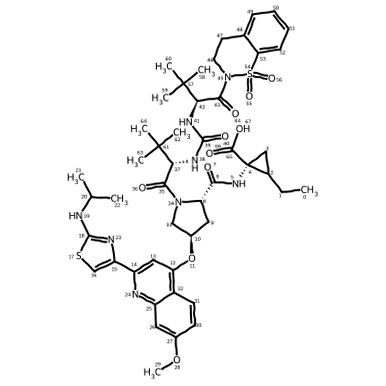 CCC1C[C@]1(NC(=O)[C@@H]1C[C@@H](Oc2cc(-c3csc(NC(C)C)n3)nc3cc(OC)ccc23)CN1C(=O)[C@@H](NC(=O)N[C@H](C(=O)N1CCc2ccccc2S1(=O)=O)C(C)(C)C)C(C)(C)C)C(=O)O